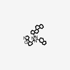 c1ccc2cc(-c3nc(-c4cccc5c4ccc4c6ccccc6ccc54)nc(-c4cccc5oc6ncccc6c45)n3)ccc2c1